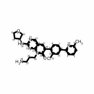 Cc1cccc(-c2ccc(-c3cc4cnc(N[C@H]5CCOC5)nc4n(CCCN)c3=O)c(Cl)c2)n1